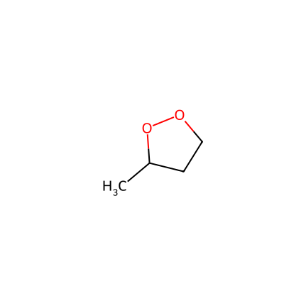 CC1CCOO1